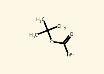 [CH]CCC(=O)OC(C)(C)C